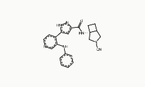 N#CN1CC2CC[C@]2(NC(=O)c2cc(-c3ccncc3Nc3ccccc3)[nH]n2)C1